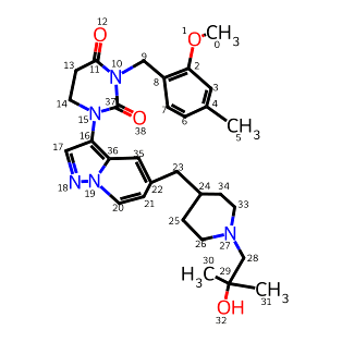 COc1cc(C)ccc1CN1C(=O)CCN(c2cnn3ccc(CC4CCN(CC(C)(C)O)CC4)cc23)C1=O